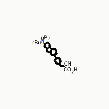 CCCCN(CCCC)c1ccc2c(c1)Cc1cc(-c3ccc(/C=C(\C#N)C(=O)O)cc3)ccc1-2